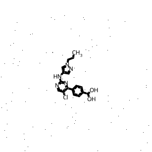 CCCn1cc(Nc2ncc(Cl)c(-c3ccc(C(O)O)cc3)n2)cn1